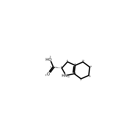 O=C(O)[C@@H]1CC2=C(CCCC2)N1